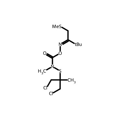 CSCC(=NOC(=O)N(C)SC(C)(CCl)CCl)C(C)(C)C